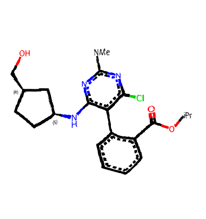 CNc1nc(Cl)c(-c2ccccc2C(=O)OC(C)C)c(N[C@H]2CC[C@@H](CO)C2)n1